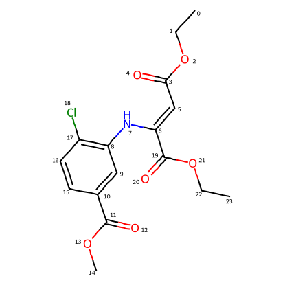 CCOC(=O)/C=C(\Nc1cc(C(=O)OC)ccc1Cl)C(=O)OCC